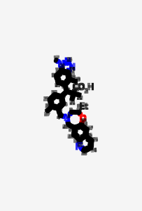 CC[C@H]1CN(Cc2cc(C(c3ccc4c(nnn4C)c3C)C(C)(C)C(=O)O)ccc2C)Cc2cc3ncccc3cc2O1